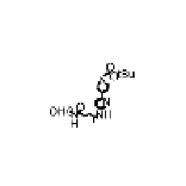 CC(CCC(=O)NC=O)Nc1ccc(C2CCN(CC(=O)OC(C)(C)C)CC2)nc1